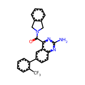 Nc1nc(C(=O)N2Cc3ccccc3C2)c2cc(-c3ccccc3C(F)(F)F)ccc2n1